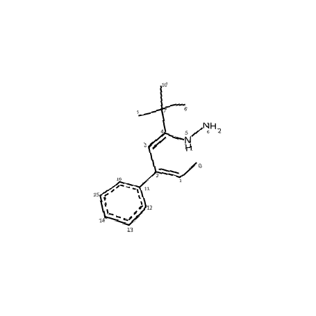 C/C=C(\C=C(/NN)C(C)(C)C)c1ccccc1